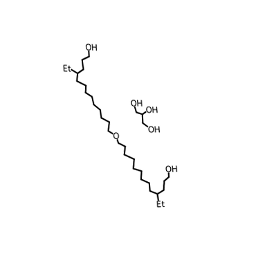 CCC(CCCO)CCCCCCCCCOCCCCCCCCCC(CC)CCCO.OCC(O)CO